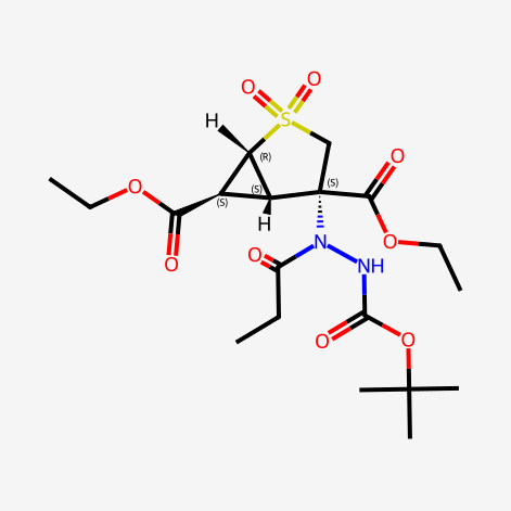 CCOC(=O)[C@@H]1[C@@H]2[C@H]1S(=O)(=O)C[C@]2(C(=O)OCC)N(NC(=O)OC(C)(C)C)C(=O)CC